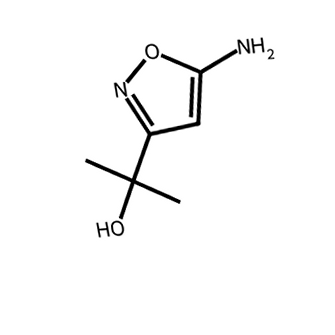 CC(C)(O)c1cc(N)on1